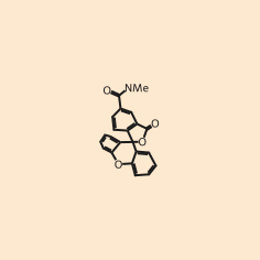 CNC(=O)c1ccc2c(c1)C(=O)OC21c2ccccc2Oc2ccccc21